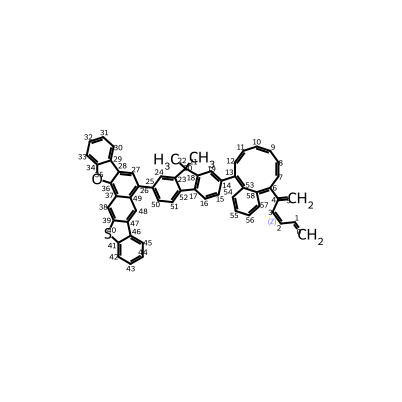 C=C/C=C\C(=C)c1ccccccc(-c2ccc3c(c2)C(C)(C)c2cc(-c4cc5c6ccccc6oc5c5cc6sc7ccccc7c6cc45)ccc2-3)c2ccccc12